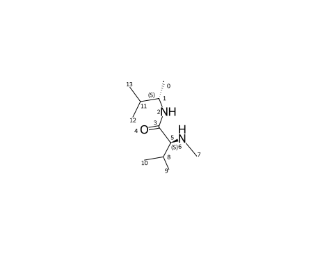 [CH2][C@H](NC(=O)[C@@H](NC)C(C)C)C(C)C